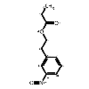 CCC(=O)OCCc1cccc(N=O)c1